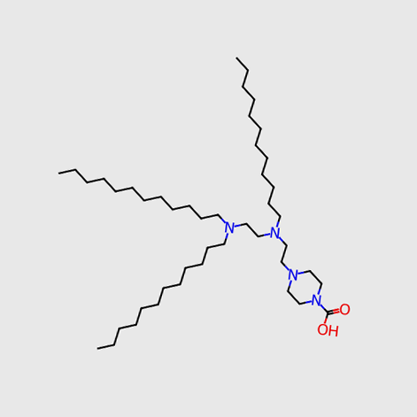 CCCCCCCCCCCCN(CCCCCCCCCCCC)CCN(CCCCCCCCCCCC)CCN1CCN(C(=O)O)CC1